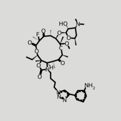 CC[C@H]1OC(=O)[C@@](C)(F)C(=O)[C@H](C)[C@@H](O[C@@H]2O[C@H](C)C[C@H](N(C)C)[C@H]2O)[C@](C)(OC)C[C@@H](C)C(=O)[C@H](C)[C@H]2N(CCCCn3cc(-c4cccc(N)c4)nn3)C(=O)O[C@]12C